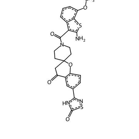 COc1cccc2c(C(=O)N3CCC4(CC3)CC(=O)c3cc(-c5nsc(=O)[nH]5)ccc3O4)c(N)sc12